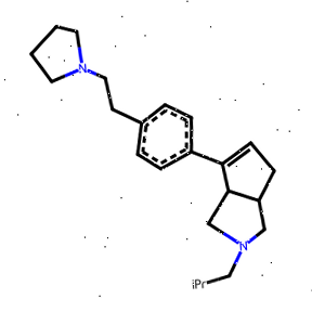 CC(C)CN1CC2CC=C(c3ccc(CCN4CCCC4)cc3)C2C1